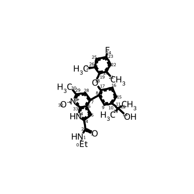 CCNC(=O)c1cc2c(-c3cc(C(C)(C)O)ccc3Oc3c(C)cc(F)cc3C)cc(C)[n+]([O-])c2[nH]1